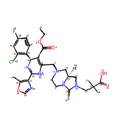 CCOC(=O)C1=C(CN2CCN3C(=S)N(CC(C)(C)C(=O)O)C[C@@H]3C2)NC(c2ncoc2C)=N[C@H]1c1ccc(F)cc1Cl